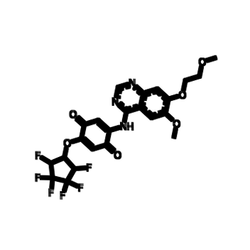 COCCOc1cc2ncnc(NC3=CC(=O)C(OC4C(F)C(F)(F)C(F)(F)C4F)=CC3=O)c2cc1OC